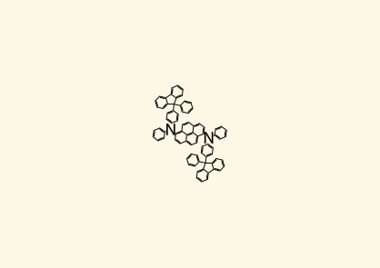 c1ccc(N(c2ccc(C3(c4ccccc4)c4ccccc4-c4ccccc43)cc2)c2ccc3ccc4c(N(c5ccccc5)c5ccc(C6(c7ccccc7)c7ccccc7-c7ccccc76)cc5)ccc5ccc2c3c54)cc1